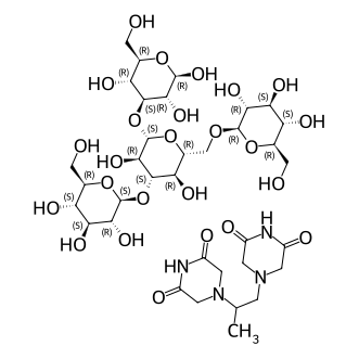 CC(CN1CC(=O)NC(=O)C1)N1CC(=O)NC(=O)C1.OC[C@H]1O[C@@H](OC[C@H]2O[C@@H](O[C@@H]3[C@@H](O)[C@H](O)O[C@H](CO)[C@H]3O)[C@H](O)[C@@H](O[C@@H]3O[C@H](CO)[C@@H](O)[C@H](O)[C@H]3O)[C@@H]2O)[C@H](O)[C@@H](O)[C@@H]1O